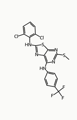 CSc1nc(Nc2ccc(C(F)(F)F)cc2)c2nc(Nc3c(Cl)cccc3Cl)sc2n1